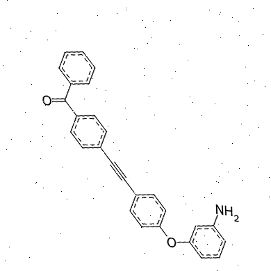 Nc1cccc(Oc2ccc(C#Cc3ccc(C(=O)c4ccccc4)cc3)cc2)c1